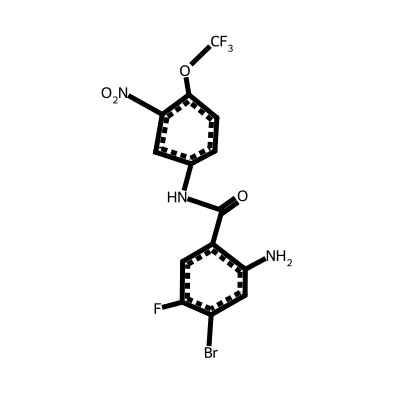 Nc1cc(Br)c(F)cc1C(=O)Nc1ccc(OC(F)(F)F)c([N+](=O)[O-])c1